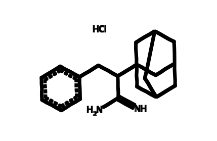 Cl.N=C(N)C(Cc1ccccc1)C12CC3CC(CC(C3)C1)C2